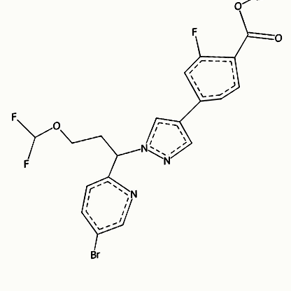 CC(C)(C)OC(=O)c1ccc(-c2cnn(C(CCOC(F)F)c3ccc(Br)cn3)c2)cc1F